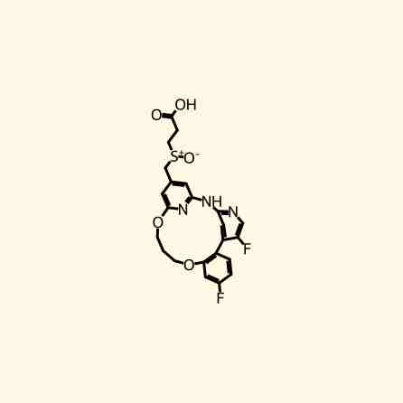 O=C(O)CC[S+]([O-])Cc1cc2nc(c1)OCCCOc1cc(F)ccc1-c1cc(ncc1F)N2